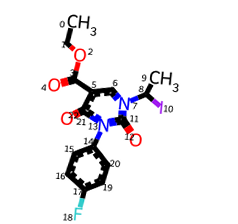 CCOC(=O)c1cn(C(C)I)c(=O)n(-c2ccc(F)cc2)c1=O